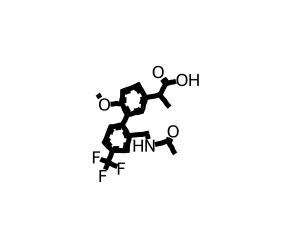 COc1ccc(C(C)C(=O)O)cc1-c1ccc(C(F)(F)F)cc1CNC(C)=O